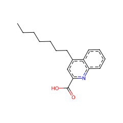 CCCCCCCc1cc(C(=O)O)nc2ccccc12